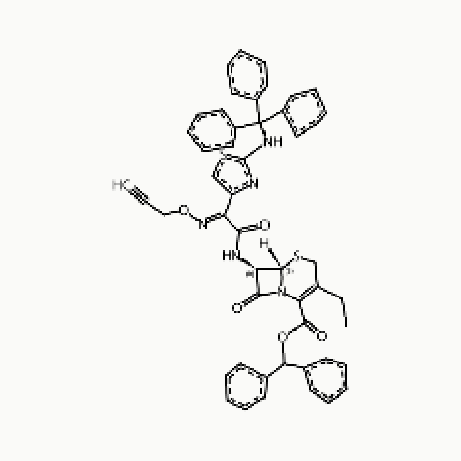 C#CCON=C(C(=O)N[C@@H]1C(=O)N2C(C(=O)OC(c3ccccc3)c3ccccc3)=C(CI)CS[C@@H]12)c1csc(NC(c2ccccc2)(c2ccccc2)c2ccccc2)n1